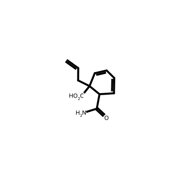 C=CCC1(C(=O)O)C=CC=CC1C(N)=O